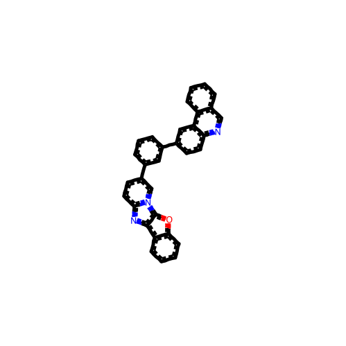 c1cc(-c2ccc3ncc4ccccc4c3c2)cc(-c2ccc3nc4c5ccccc5oc4n3c2)c1